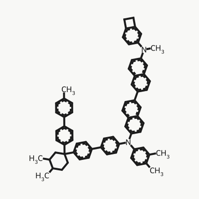 Cc1ccc(-c2ccc(C3(c4ccc(-c5ccc(N(c6ccc(C)c(C)c6)c6ccc7cc(-c8ccc9cc(N(C)c%10ccc%11c(c%10)CC%11)ccc9c8)ccc7c6)cc5)cc4)CCC(C)C(C)C3)cc2)cc1